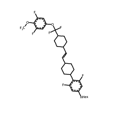 CCCCCCc1cc(F)c(C2CCC(/C=C/C3CCC(C(F)(F)Oc4cc(F)c(OC(F)(F)F)c(F)c4)CC3)CC2)c(F)c1